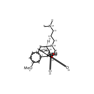 COc1ccc2c(c1)[C@]13CCN(CCCN(C)C)[C@H](C2)[C@]1(O)CCCNC(=O)NC(=O)C3